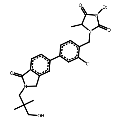 CCN1C(=O)C(C)N(Cc2ccc(-c3ccc4c(c3)CN(CC(C)(C)CO)C4=O)cc2Cl)C1=O